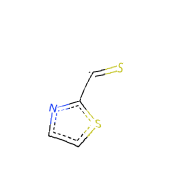 S=[C]c1nccs1